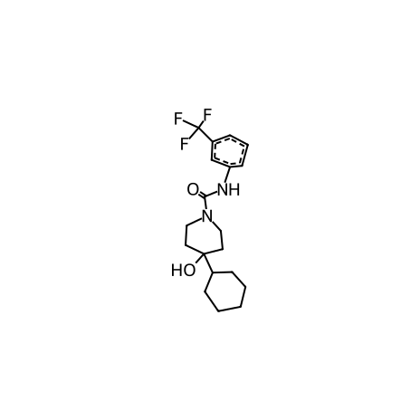 O=C(Nc1cccc(C(F)(F)F)c1)N1CCC(O)(C2CCCCC2)CC1